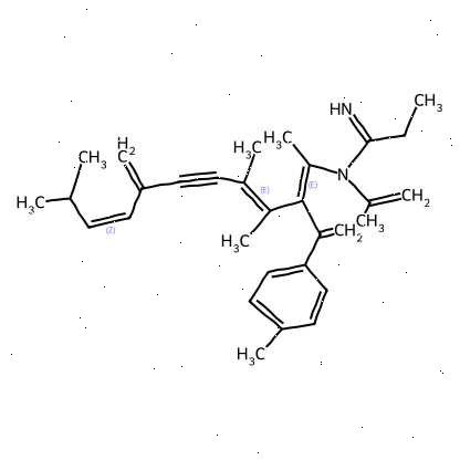 C=C(C#C/C(C)=C(C)/C(C(=C)c1ccc(C)cc1)=C(\C)N(C(=C)C)C(=N)CC)/C=C\C(C)C